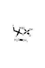 C=C.O=P(O)(O)OC(F)(F)CF